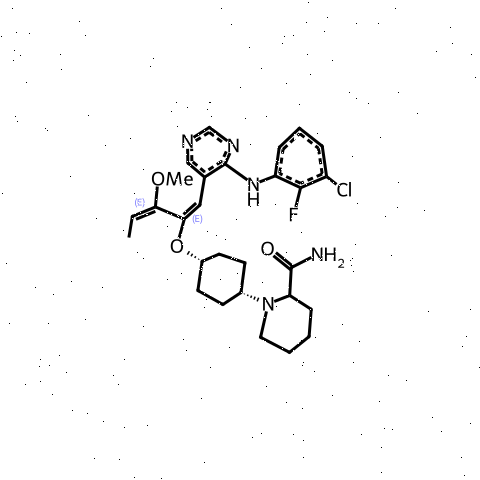 C/C=C(OC)\C(=C/c1cncnc1Nc1cccc(Cl)c1F)O[C@H]1CC[C@@H](N2CCCCC2C(N)=O)CC1